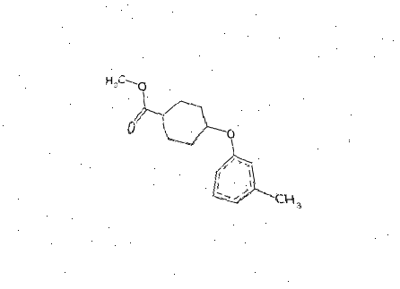 COC(=O)C1CCC(Oc2cccc(C)c2)CC1